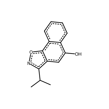 CC(C)c1noc2c1cc(O)c1ccccc12